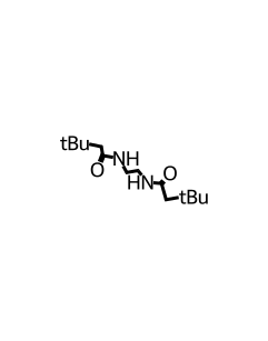 CC(C)(C)CC(=O)NCCNC(=O)CC(C)(C)C